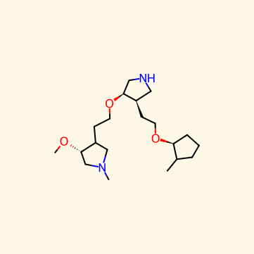 CO[C@H]1CN(C)CC1CCO[C@H]1CNC[C@H]1CCO[C@H]1CCCC1C